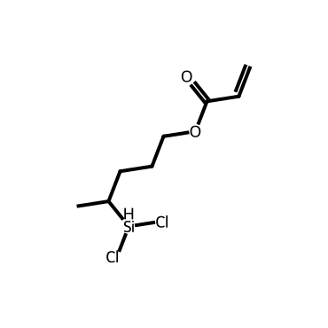 C=CC(=O)OCCCC(C)[SiH](Cl)Cl